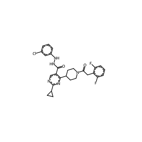 O=C(NNc1cccc(Cl)c1)c1cnc(C2CC2)nc1C1CCN(C(=O)Cc2c(F)cccc2F)CC1